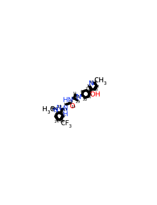 Cc1ccc(C2(O)CCC(N3CC(NC(=O)CNc4nn(C)c5ccc(C(F)(F)F)cc45)C3)CC2)cn1